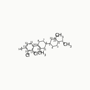 CCC1CCC(C2CCC(c3ccc(I)c(Cl)c3Cl)=C(C)C2)C[C@@H]1C